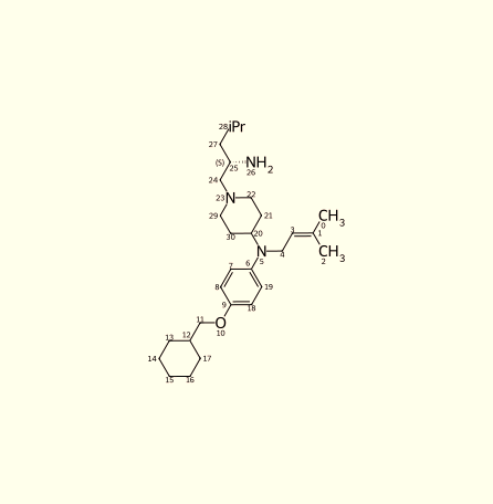 CC(C)=CCN(c1ccc(OCC2CCCCC2)cc1)C1CCN(C[C@@H](N)CC(C)C)CC1